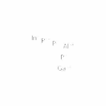 [Al+3].[Ga+3].[In+3].[P-3].[P-3].[P-3]